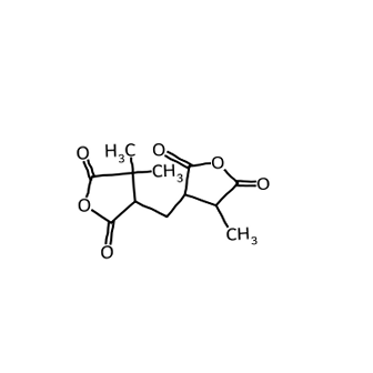 CC1C(=O)OC(=O)C1CC1C(=O)OC(=O)C1(C)C